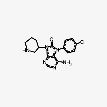 Nc1ncnc2c1n(-c1ccc(Cl)cc1)c(=O)n2C1CCCNC1